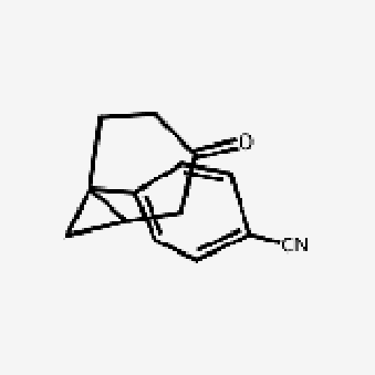 N#Cc1ccc(C23CCC(=O)CC2C3)cc1